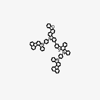 c1cc2c3c(cccc3c1)-c1c-2ccc2c1c1ccccc1n2-c1ccc(-n2c3cc(-c4ccc5sc6c(c5c4)c4ccccc4c4c5ccccc5n(-c5ccc(-n7c8ccccc8c8c9c(ccc87)-c7cccc8cccc-9c78)cc5)c64)ccc3c3c4ccc5oc6ccccc6c5c4ccc32)cc1